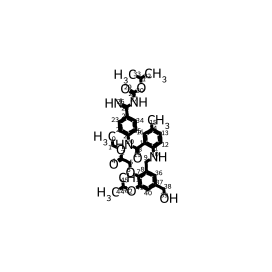 CCOC(=O)COc1c(CNc2ccc(C)cc2C(=O)Nc2ccc(C(=N)NC(=O)OC(C)C)cc2)cc(CO)cc1OC(C)C